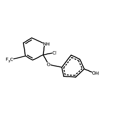 Oc1ccc(OC2(Cl)C=C(C(F)(F)F)C=CN2)cc1